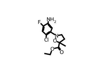 CCOC(=O)C1(C)CCN(c2cc(N)c(F)cc2Cl)O1